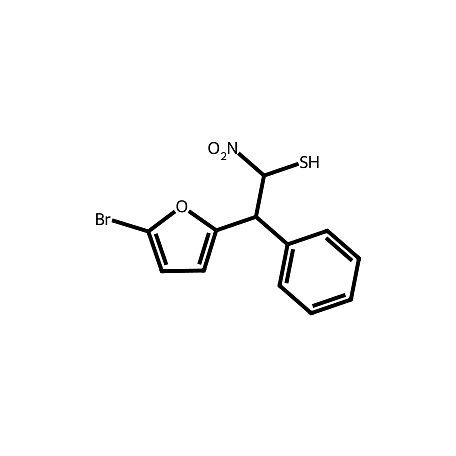 O=[N+]([O-])C(S)C(c1ccccc1)c1ccc(Br)o1